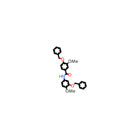 COc1cc(C(=O)Nc2ccc(OC)c(OCc3ccccc3)c2)ccc1OCc1ccccc1